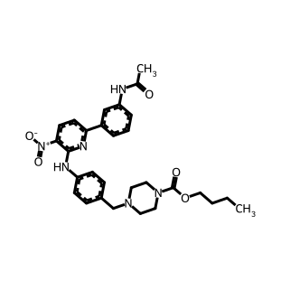 CCCCOC(=O)N1CCN(Cc2ccc(Nc3nc(-c4cccc(NC(C)=O)c4)ccc3[N+](=O)[O-])cc2)CC1